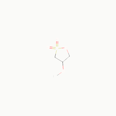 CCOC1COS(=O)(=O)C1